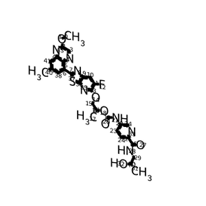 COc1cnc2c(-c3nc4cc(F)c(OC[C@@H](C)OC(=O)Nc5ccc(C(=O)NC[C@H](C)O)nc5)nc4s3)cc(C)cc2n1